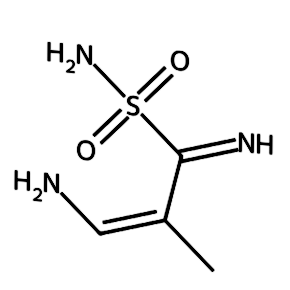 C/C(=C/N)C(=N)S(N)(=O)=O